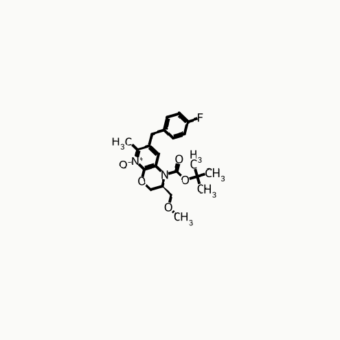 COC[C@H]1COc2c(cc(Cc3ccc(F)cc3)c(C)[n+]2[O-])N1C(=O)OC(C)(C)C